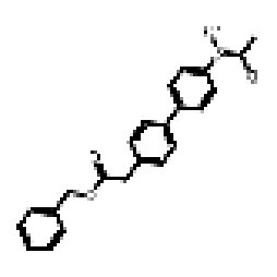 CC(Cl)[S+]([O-])c1ccc(-c2ccc(CC(=O)OCc3ccccc3)cc2)cc1